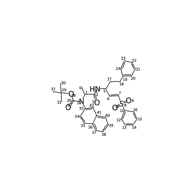 CC(C(=O)NC(C=CS(=O)(=O)c1ccccc1)CCc1ccccc1)N(C(=O)OC(C)(C)C)c1ccc2ccccc2c1